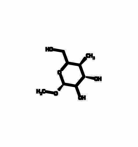 CO[C@@H]1OC(CO)[C@@H](C)[C@H](O)C1O